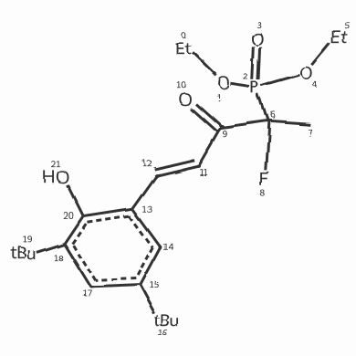 CCOP(=O)(OCC)C(C)(F)C(=O)C=Cc1cc(C(C)(C)C)cc(C(C)(C)C)c1O